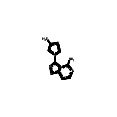 Cc1cn(-c2nnc3ccnc(N)n23)cn1